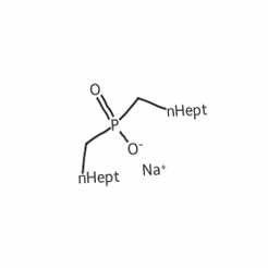 CCCCCCCCP(=O)([O-])CCCCCCCC.[Na+]